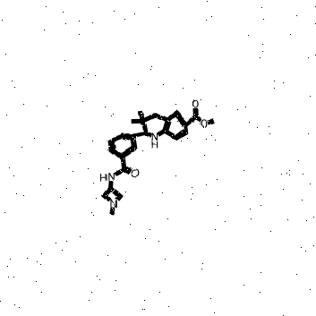 COC(=O)c1ccc2c(c1)CC(C)(C)C(c1cccc(C(=O)NC3CN(C)C3)c1)N2